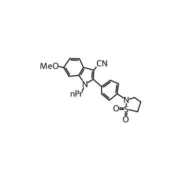 CCCn1c(-c2ccc(N3CCCS3(=O)=O)cc2)c(C#N)c2ccc(OC)cc21